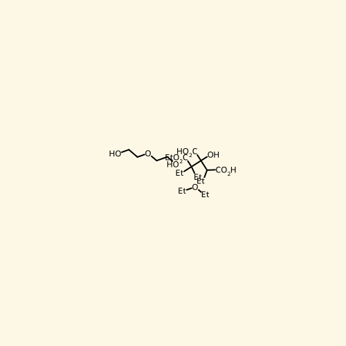 CCOC(=O)C(CC)(CC)C(O)(C(=O)O)C(CC)C(=O)O.CCOCC.OCCOCCO